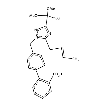 CC=CCc1nc(C(CCCC)(OC)OC)nn1Cc1ccc(-c2ccccc2C(=O)O)cc1